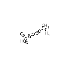 CCCC(CCC)c1ccc(OCc2ccc(-c3ccc(CN(CC(=O)O)Cc4cc5ccccc5s4)s3)cc2)cc1